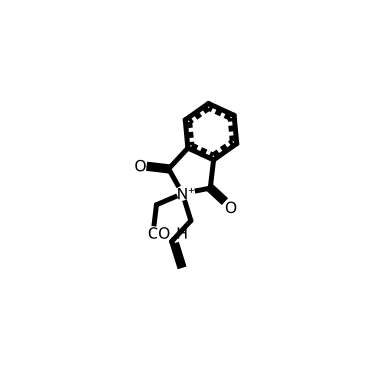 C=CC[N+]1(CC(=O)O)C(=O)c2ccccc2C1=O